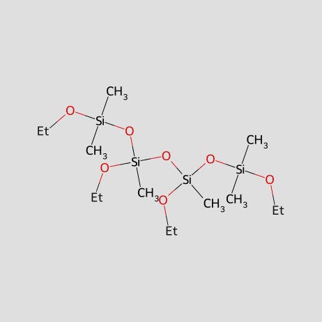 CCO[Si](C)(C)O[Si](C)(OCC)O[Si](C)(OCC)O[Si](C)(C)OCC